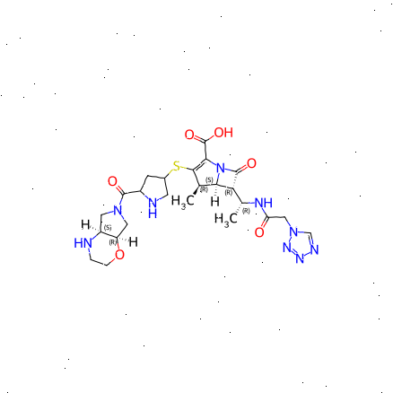 C[C@@H](NC(=O)Cn1cnnn1)[C@H]1C(=O)N2C(C(=O)O)=C(SC3CNC(C(=O)N4C[C@@H]5NCCO[C@@H]5C4)C3)[C@H](C)[C@H]12